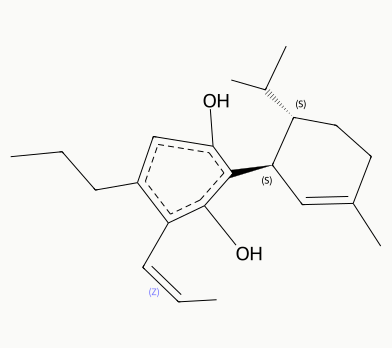 C/C=C\c1c(CCC)cc(O)c([C@@H]2C=C(C)CC[C@H]2C(C)C)c1O